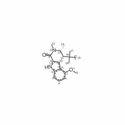 COc1cccc2[nH]c(C(=O)N(C)[C@H](C)CC(C)(C)F)cc12